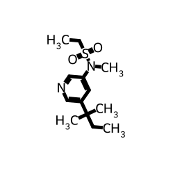 CCC(C)(C)c1cncc(N(C)S(=O)(=O)CC)c1